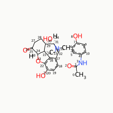 CC(=O)Nc1ccc(O)cc1.CN1CC[C@]23c4c5ccc(O)c4O[C@H]2C(=O)CC[C@@]3(O)[C@H]1C5